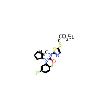 CCOC(=O)CSc1cnc(N(C)C(=O)N(c2cc(F)ccc2F)C2CCCC2)s1